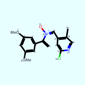 C=C(c1cc(OC)cc(OC)c1)/[N+]([O-])=C\c1cc(Cl)ncc1C